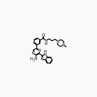 CN1CCN(CCCNC(=O)c2cccc(-c3cnc(N)c(-c4nc5ccccc5[nH]4)n3)c2)CC1